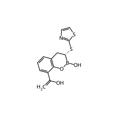 C=C(O)c1cccc2c1OB(O)[C@@H](Sc1nccs1)C2